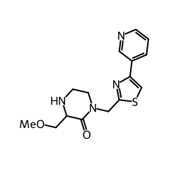 COCC1NCCN(Cc2nc(-c3cccnc3)cs2)C1=O